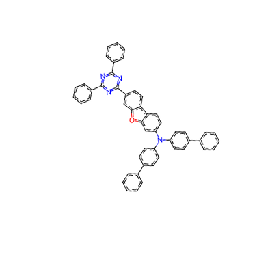 c1ccc(-c2ccc(N(c3ccc(-c4ccccc4)cc3)c3ccc4c(c3)oc3cc(-c5nc(-c6ccccc6)nc(-c6ccccc6)n5)ccc34)cc2)cc1